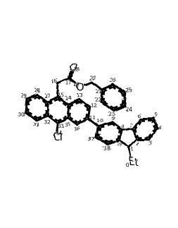 CCC1c2ccccc2-c2cc(-c3ccc4c(CC(=O)OCc5ccccc5)c5ccccc5c(Cl)c4c3)ccc21